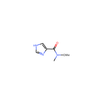 CON(C)C(=O)c1c[nH]cn1